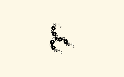 Nc1ccc(Oc2ccc(OB(Oc3ccc(Oc4ccc(N)cc4)cc3)Oc3ccc(Oc4ccc(N)cc4)cc3)cc2)cc1